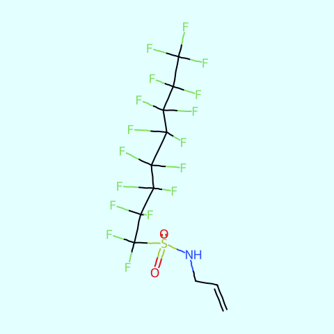 C=CCNS(=O)(=O)C(F)(F)C(F)(F)C(F)(F)C(F)(F)C(F)(F)C(F)(F)C(F)(F)C(F)(F)F